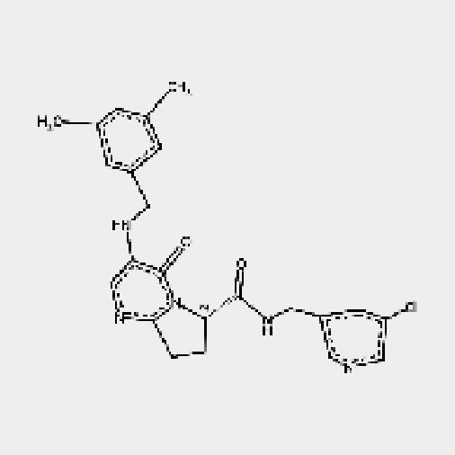 Cc1cc(C)cc(CNc2cnc3n(c2=O)[C@H](C(=O)NCc2cncc(Cl)c2)CC3)c1